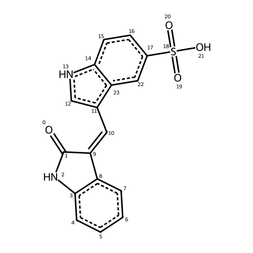 O=C1Nc2ccccc2C1=Cc1c[nH]c2ccc(S(=O)(=O)O)cc12